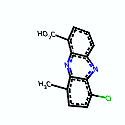 Cc1ccc(Cl)c2nc3cccc(C(=O)O)c3nc12